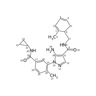 CC1=CC=CCC1CNC(=O)c1cnn(-c2cc(C(=O)NC3CC3)ccc2C)c1N